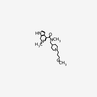 COCCCN1CCC(CN(C)C(=O)C2=CN(C)Cc3[nH]ccc32)CC1